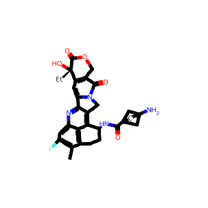 CC[C@@]1(O)C(=O)OCc2c1cc1n(c2=O)Cc2c-1nc1cc(F)c(C)c3c1c2[C@@H](NC(=O)C12CC(N)(C1)C2)CC3